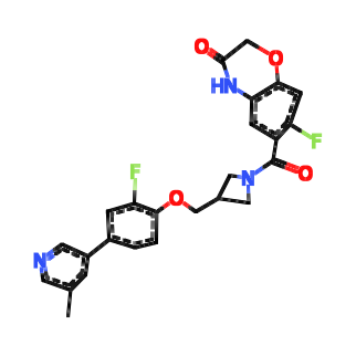 Cc1cncc(-c2ccc(OCC3CN(C(=O)c4cc5c(cc4F)OCC(=O)N5)C3)c(F)c2)c1